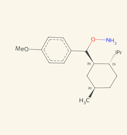 COc1ccc(C(ON)[C@@H]2C[C@H](C)CC[C@H]2C(C)C)cc1